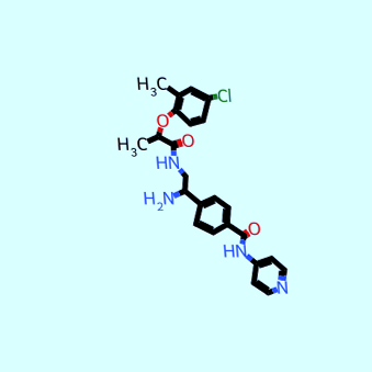 Cc1cc(Cl)ccc1OC(C)C(=O)NCC(N)c1ccc(C(=O)Nc2ccncc2)cc1